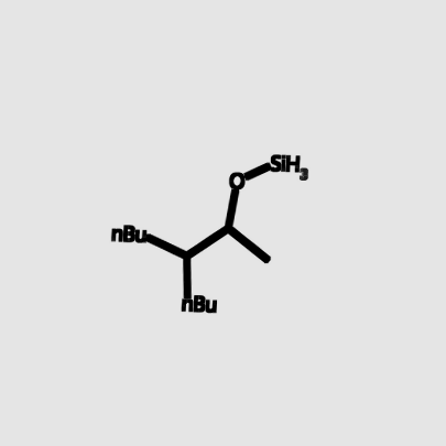 CCCCC(CCCC)C(C)O[SiH3]